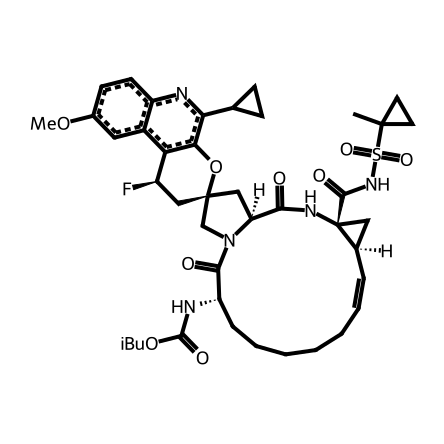 COc1ccc2nc(C3CC3)c3c(c2c1)[C@H](F)C[C@]1(C[C@H]2C(=O)N[C@]4(C(=O)NS(=O)(=O)C5(C)CC5)C[C@H]4/C=C\CCCCC[C@H](NC(=O)OCC(C)C)C(=O)N2C1)O3